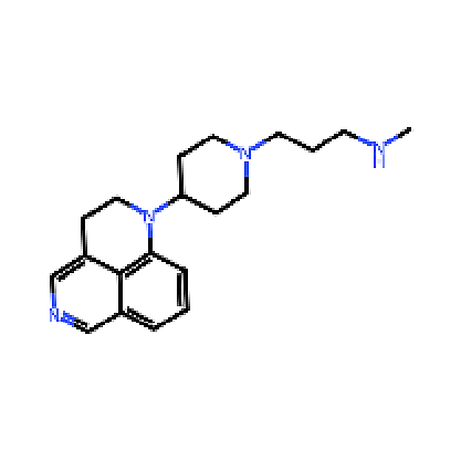 CNCCCN1CCC(N2CCc3cncc4cccc2c34)CC1